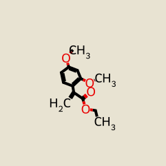 C=C(C(=O)OCC)c1ccc(OC)cc1OC